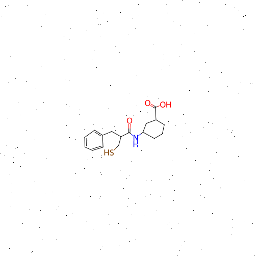 O=C(O)C1CCCC(NC(=O)C(CS)Cc2ccccc2)C1